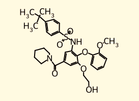 COc1ccccc1Oc1c(NS(=O)(=O)c2ccc(C(C)(C)C)cc2)cc(C(=O)N2CCCCC2)cc1OCCO